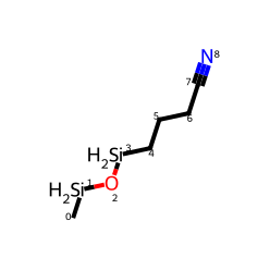 C[SiH2]O[SiH2]CCCC#N